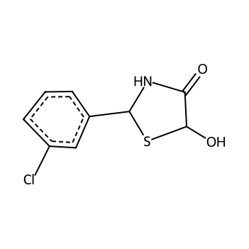 O=C1NC(c2cccc(Cl)c2)SC1O